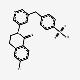 CS(=O)(=O)c1ccc(Cc2cncc(N3CCc4cc(Cl)ccc4C3=O)c2)cc1